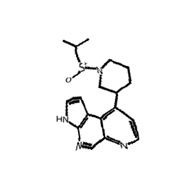 CC(C)[S+]([O-])N1CCCC(c2ccnc3cnc4[nH]ccc4c23)C1